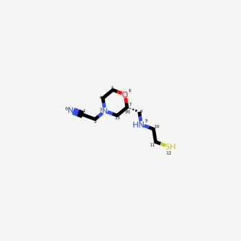 N#CCN1CCO[C@H](CNCCS)C1